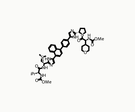 COC(=O)N[C@H](C(=O)N[C@@H](C[SiH](C)C)c1ncc(-c2ccc(-c3ccc(-c4cnc([C@@H]5CCCN5C(=O)[C@@H](NC(=O)OC)C5CCOCC5)[nH]4)cc3)c3ccccc23)[nH]1)C(C)C